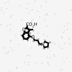 Cc1c(C(=O)O)oc2cccc(OCCCN3CCCC3)c12